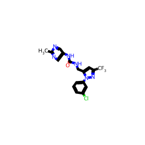 Cc1ncc(NC(=O)NCc2cc(C(F)(F)F)nn2-c2cccc(Cl)c2)cn1